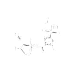 CC(C)NS(=O)(=O)c1cc(C(=O)NC2(C)CC=C(F)C(C#N)=C2F)n(C)c1